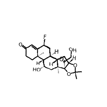 CC1(C)O[C@H]2C[C@H]3[C@@H]4C[C@H](F)C5=CC(=O)CC[C@]5(C)[C@H]4[C@@H](O)C[C@]3(C)[C@]2(C(=O)CO)O1